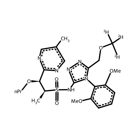 [2H]C([2H])([2H])OCc1nnc(NS(=O)(=O)[C@@H](C)[C@@H](OCCC)c2ncc(C)cn2)n1-c1c(OC)cccc1OC